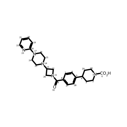 O=C(O)N1CCC(c2ccc(C(=O)N3CC(N4CCN(c5ccccn5)CC4)C3)cc2)CC1